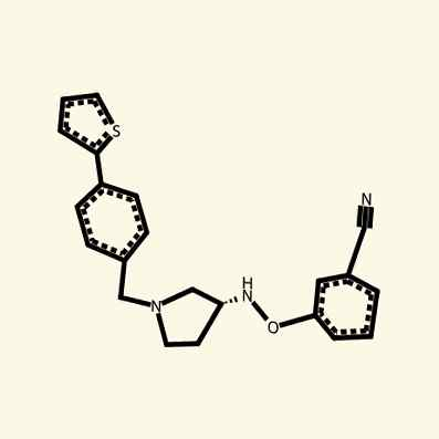 N#Cc1cccc(ON[C@@H]2CCN(Cc3ccc(-c4cccs4)cc3)C2)c1